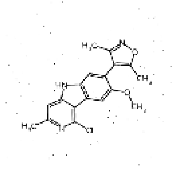 COc1cc2c(cc1-c1c(C)noc1C)[nH]c1cc(C)nc(Cl)c12